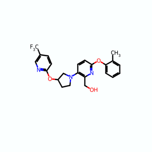 Cc1ccccc1Oc1ccc(N2CCC(Oc3ccc(C(F)(F)F)cn3)C2)c(CO)n1